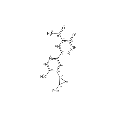 Cc1nnc(-c2c[nH]c(=O)c(C(N)=O)n2)cc1C1CC1C(C)C